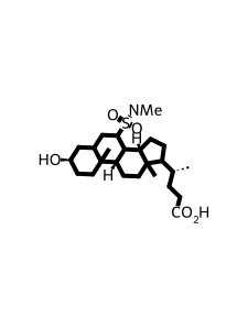 CNS(=O)(=O)C1CC2C[C@H](O)CCC2(C)[C@H]2CCC3(C)C([C@H](C)CCC(=O)O)CC[C@H]3C12